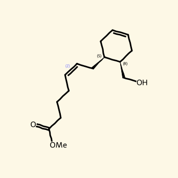 COC(=O)CCC/C=C\C[C@H]1CC=CC[C@H]1CO